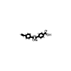 C#Cc1ccc(-c2nc(-c3ccc(C(=O)O)cc3)no2)cc1